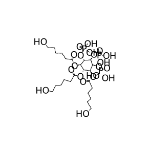 O=C(CCCCCO)O[C@@H]1[C@@H](OC(=O)CCCCCO)[C@H](OP(=O)(O)O)[C@@H](OP(=O)(O)O)[C@@H](OP(=O)(O)O)[C@H]1OC(=O)CCCCCO